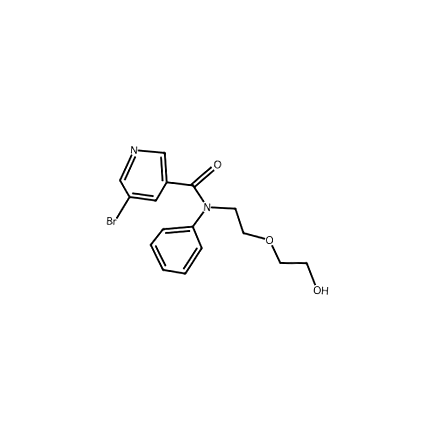 O=C(c1cncc(Br)c1)N(CCOCCO)c1ccccc1